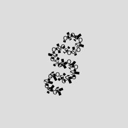 CO[Si](C)(C)O[Si](C)(C)O[Si](C)(C)O[Si](C)(C)O[Si](C)(C)O[Si](C)(C)O[Si](C)(C)O[Si](C)(C)O[Si](C)(C)O[Si](C)(C)O[Si](C)(C)O[Si](C)(C)O[Si](C)(C)O[Si](C)(C)O[Si](C)(C)O[Si](C)(C)O[Si](C)(C)C